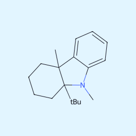 CN1c2ccccc2C2(C)CCCCC12C(C)(C)C